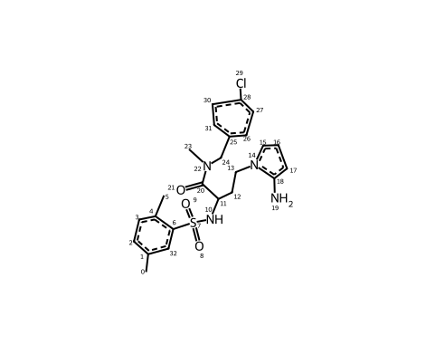 Cc1ccc(C)c(S(=O)(=O)NC(CCn2cccc2N)C(=O)N(C)Cc2ccc(Cl)cc2)c1